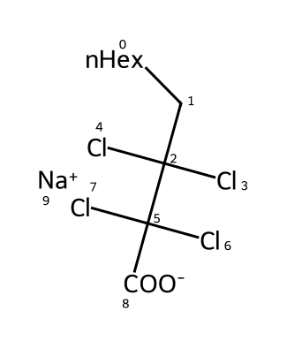 CCCCCCCC(Cl)(Cl)C(Cl)(Cl)C(=O)[O-].[Na+]